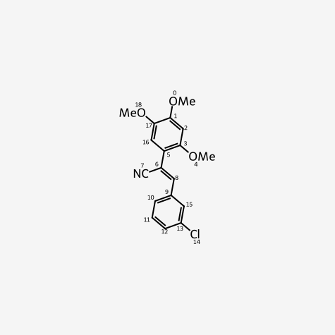 COc1cc(OC)c(C(C#N)=Cc2cccc(Cl)c2)cc1OC